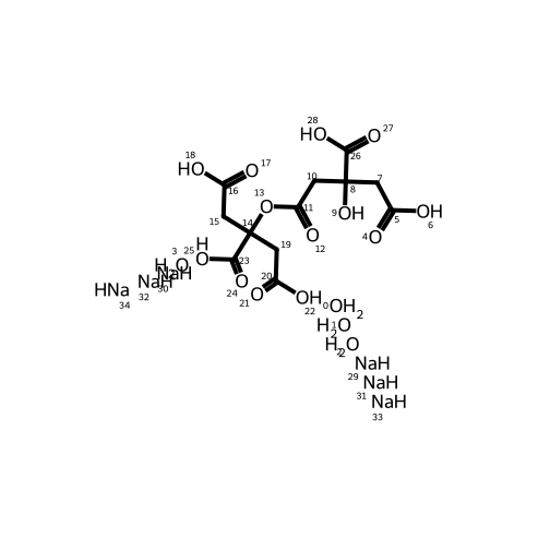 O.O.O.O.O=C(O)CC(O)(CC(=O)OC(CC(=O)O)(CC(=O)O)C(=O)O)C(=O)O.[NaH].[NaH].[NaH].[NaH].[NaH].[NaH]